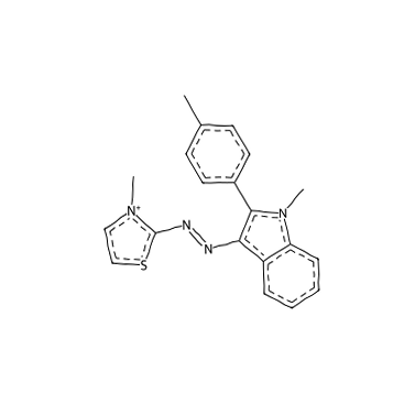 Cc1ccc(-c2c(/N=N/c3scc[n+]3C)c3ccccc3n2C)cc1